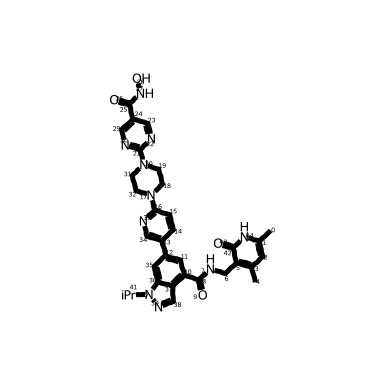 Cc1cc(C)c(CNC(=O)c2cc(-c3ccc(N4CCN(c5ncc(C(=O)NO)cn5)CC4)nc3)cc3c2cnn3C(C)C)c(=O)[nH]1